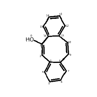 OC1=Cc2ccccc2/C=C\c2ccccc21